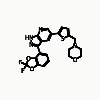 FC1(F)Oc2cccc(-c3n[nH]c4ncc(-c5ccc(CN6CCOCC6)s5)cc34)c2O1